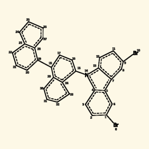 Brc1ccc2c(c1)c1cc(Br)ccc1n2-c1ccc(-c2cccc3ccccc23)c2ccccc12